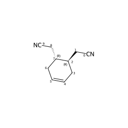 N#CC[C@H]1CC=CC[C@@H]1CC#N